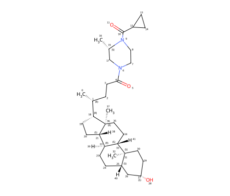 C[C@H](CCC(=O)N1CCN(C(=O)C2CC2)[C@@H](C)C1)[C@H]1CC[C@H]2[C@@H]3CC[C@H]4C[C@@H](O)CC[C@]4(C)[C@H]3CC[C@]12C